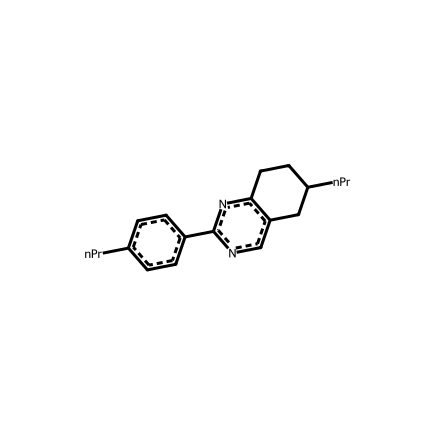 CCCc1ccc(-c2ncc3c(n2)CCC(CCC)C3)cc1